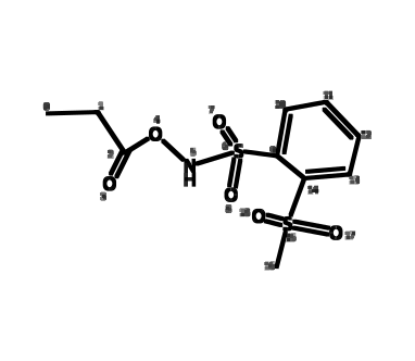 CCC(=O)ONS(=O)(=O)c1ccccc1S(C)(=O)=O